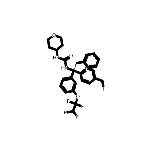 O=C(NC1CCOCC1)N[C@](Cc1ccccc1)(c1cccc(OC(F)(F)C(F)F)c1)c1ccc(CI)cn1